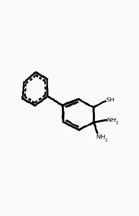 NC1(N)C=CC(c2ccccc2)=CC1S